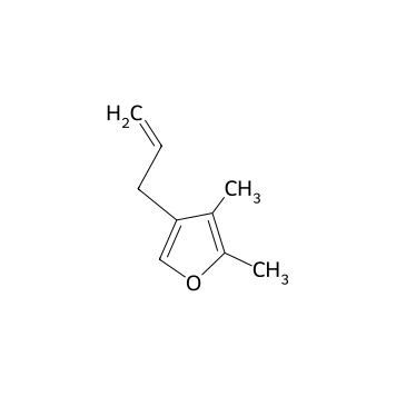 C=CCc1coc(C)c1C